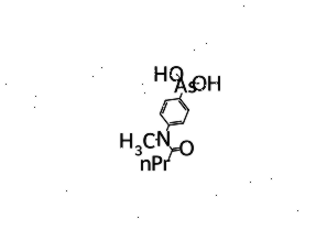 CCCC(=O)N(C)c1ccc([As](O)O)cc1